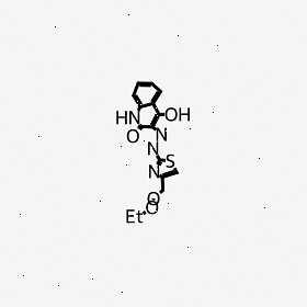 CCOOCc1csc(N=Nc2c(O)c3ccccc3[nH]c2=O)n1